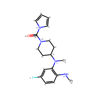 CCN(c1cc(F)ccc1NC(C)C)C1CCN(C(=O)n2cccc2)CC1